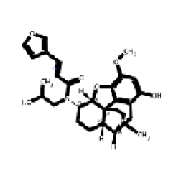 COc1cc(O)c2c3c1O[C@H]1[C@@H](N(CC(C)C)C(=O)/C=C/c4ccoc4)CC[C@H]4[C@@H](C2)N(C)CC[C@@]341